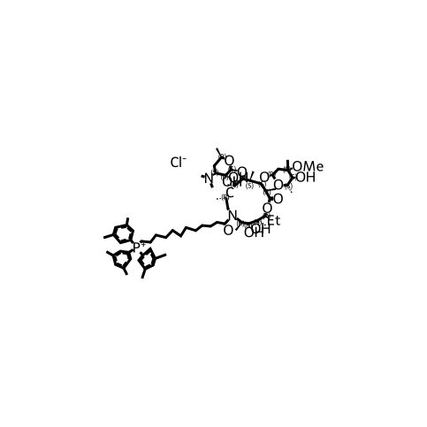 CC[C@H]1OC(=O)[C@H](C)[C@@H](O[C@H]2C[C@@](C)(OC)[C@@H](O)[C@H](C)O2)[C@H](C)[C@@H](O[C@@H]2O[C@H](C)C[C@H](N(C)C)[C@H]2O)[C@](C)(O)C[C@@H](C)CN(C(=O)CCCCCCCCCCC[P+](c2cc(C)cc(C)c2)(c2cc(C)cc(C)c2)c2cc(C)cc(C)c2)[C@H](C)[C@@H](O)[C@]1(C)O.[Cl-]